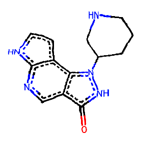 O=c1[nH]n(C2CCCNC2)c2c1cnc1[nH]ccc12